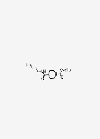 CC(C)(C)OC(=O)N1CCC(C(=O)NCCCCI)CC1